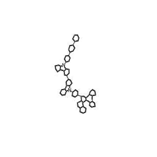 c1ccc(-c2ccc(-c3ccc(-n4c5ccccc5c5cc(-c6ccc7c(c6)c6ccccc6n7-c6ccc(-c7cc8c9ccccc9c9ccccc9c8c8c7ccc7ccccc78)cc6)ccc54)cc3)cc2)cc1